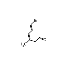 CC(=CC=CBr)CC=O